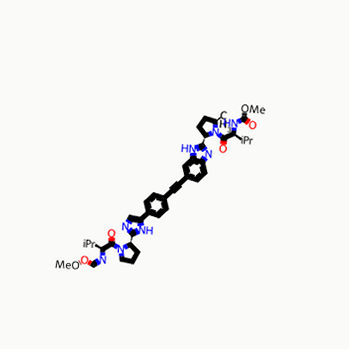 COO/C=N\[C@H](C(=O)N1CCC[C@H]1c1ncc(-c2ccc(C#Cc3ccc4nc([C@@H]5CC[C@H](C)N5C(=O)[C@@H](NC(=O)OC)C(C)C)[nH]c4c3)cc2)[nH]1)C(C)C